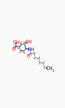 CCCCCCCC(=O)Nc1ccc(C(=O)O)cc1O